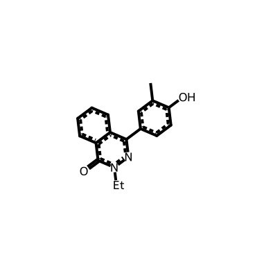 CCn1nc(-c2ccc(O)c(C)c2)c2ccccc2c1=O